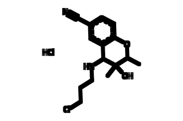 CC1Oc2ccc(C#N)cc2C(NCCCCl)C1(C)O.Cl